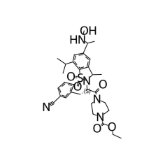 CCOC(=O)N1CCN(C(=O)[C@H](Cc2cccc(C#N)c2)N2C(C)c3cc(C(C)NO)cc(C(C)C)c3S2(=O)=O)CC1